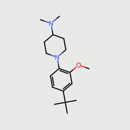 COc1cc(C(C)(C)C)ccc1N1CCC(N(C)C)CC1